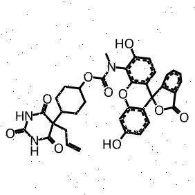 C=CCC1(C2CCC(OC(=O)N(C)c3c(O)ccc4c3Oc3cc(O)ccc3C43OC(=O)c4ccccc43)CC2)C(=O)NC(=O)NC1=O